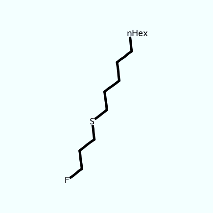 [CH2]CCCCCCCCCCSCCCF